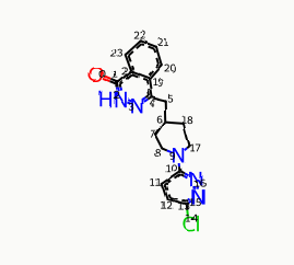 O=c1[nH]nc(CC2CCN(c3ccc(Cl)nn3)CC2)c2ccccc12